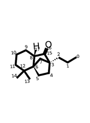 CCC[C@]12CC[C@]3(C1)[C@H](CCCC3(C)C)C2=O